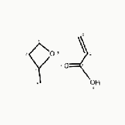 C=CC(=O)O.CC1CCO1